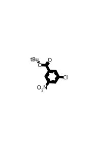 CC(C)(C)OC(=O)c1cc(Cl)cc([N+](=O)[O-])c1